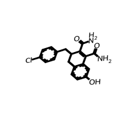 NC(=O)C1=C(C(N)=O)C(Cc2ccc(Cl)cc2)Cc2ccc(O)cc21